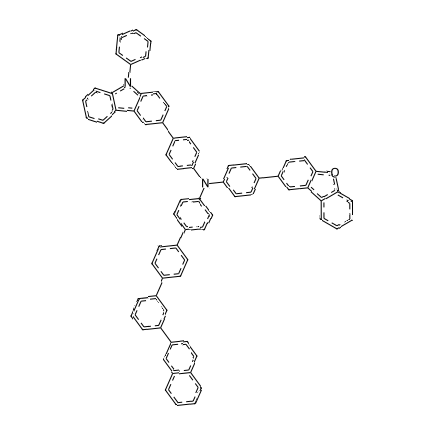 c1ccc(-n2c3ccccc3c3cc(-c4ccc(N(c5ccc(-c6ccc(-c7cccc(-c8ccc9ccccc9c8)c7)cc6)cc5)c5ccc(-c6ccc7oc8ccccc8c7c6)cc5)cc4)ccc32)cc1